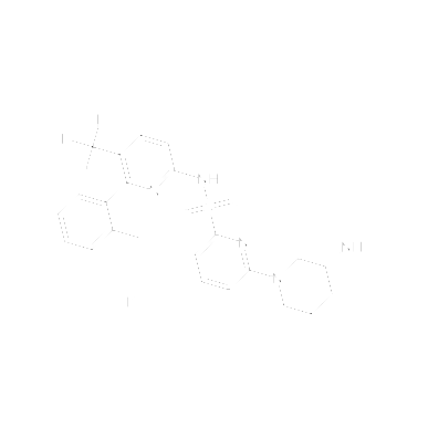 Cc1ccccc1-c1nc(NS(=O)(=O)c2cccc(N3CCC[C@@H](N)C3)n2)ccc1C(F)(F)F.Cl